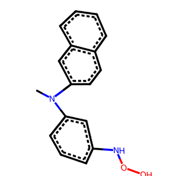 CN(c1cccc(NOO)c1)c1ccc2ccccc2c1